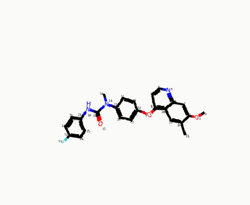 COc1cc2nccc(Oc3ccc(N(C)C(=O)Nc4ccc(F)cc4)cc3)c2cc1C